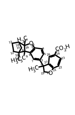 CC1(c2ccc3c(c2)C2(C)C4(C)CCC(C4)C2(C)O3)COc2ccc(C(=O)O)cc21